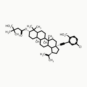 C=C(C)[C@@H]1CC[C@]2(C#Cc3cc(Cl)ccc3C(=O)O)CC[C@]3(C)C(CCC4[C@@]5(C)CC[C@H](OC(=O)CC(C)(C)C(=O)O)C(C)(C)C5CC[C@]43C)C12